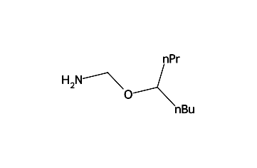 CCCCC(CCC)OCN